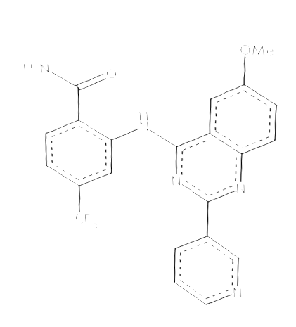 COc1ccc2nc(-c3cccnc3)nc(Nc3cc(C(F)(F)F)ccc3C(N)=O)c2c1